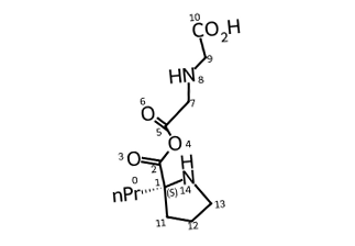 CCC[C@@]1(C(=O)OC(=O)CNCC(=O)O)CCCN1